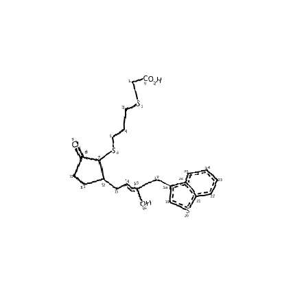 O=C(O)CSCCCSC1C(=O)CCC1CC=C(O)Cc1csc2ccccc12